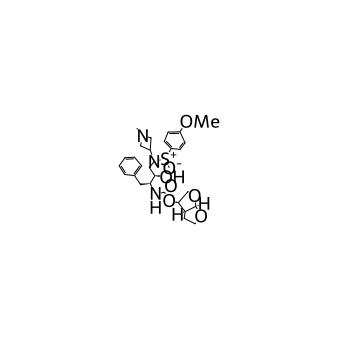 COc1ccc([S+]([O-])N(C[C@@H](O)[C@H](Cc2ccccc2)NC(=O)O[C@H]2CO[C@H]3OCC[C@H]32)C2CN(C)C2)cc1